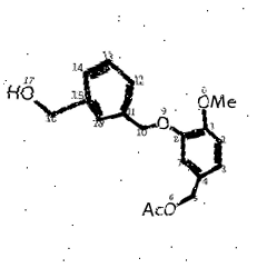 COc1ccc(COC(C)=O)cc1OCc1cccc(CO)c1